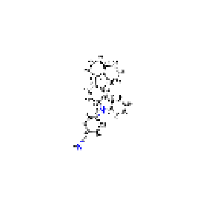 N#Cc1ccc(-n2c3ccccc3c3c4c(ccc32)-c2cccc3cccc-4c23)cc1